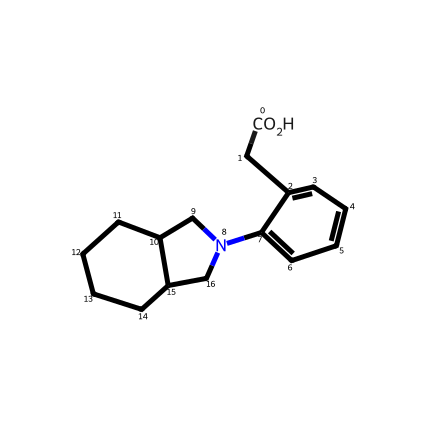 O=C(O)Cc1ccccc1N1CC2CCCCC2C1